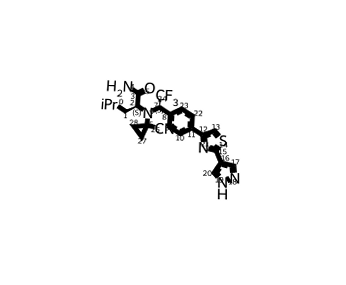 CC(C)C[C@@H](C(N)=O)N([C@@H](c1ccc(-c2csc(-c3cn[nH]c3)n2)cc1)C(F)(F)F)C1(C#N)CC1